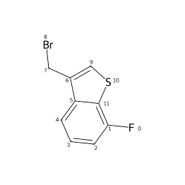 Fc1cccc2c(CBr)csc12